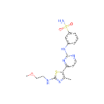 COCCNc1nc(C)c(-c2ccnc(Nc3cccc(S(N)(=O)=O)c3)n2)s1